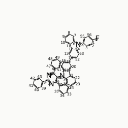 Fc1ccc(-n2c3ccccc3c3cc(-c4ccc5c(c4)c4ccccc4n5-c4c(-c5ccccc5)nc(-c5ccccc5)nc4-c4ccccc4)ccc32)cc1